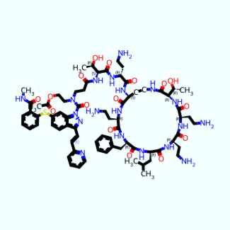 CNC(=O)c1ccccc1Sc1ccc2c(/C=C/c3ccccn3)nn(C(=O)N(CCOC(C)=O)CCC(=O)N[C@H](C(=O)N[C@H](CCN)C(=O)N[C@H]3CCNC(=O)[C@@H]([C@@H](C)O)NC(=O)[C@@H](CCN)NC(=O)[C@@H](CCN)NC(=O)[C@@H](CC(C)C)NC(=O)[C@@H](Cc4ccccc4)NC(=O)[C@@H](CCN)NC3=O)[C@@H](C)O)c2c1